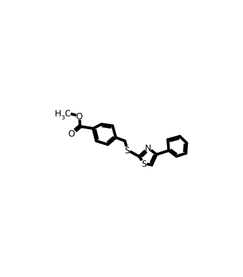 COC(=O)c1ccc(CSc2nc(-c3ccccc3)cs2)cc1